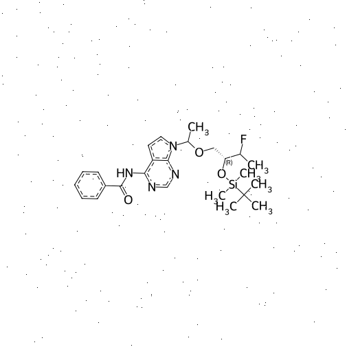 CC(F)[C@@H](COC(C)n1ccc2c(NC(=O)c3ccccc3)ncnc21)O[Si](C)(C)C(C)(C)C